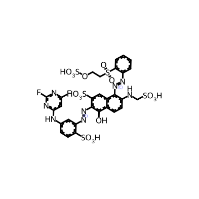 O=S(=O)(O)CNc1ccc2c(O)c(/N=N/c3cc(Nc4cc(F)nc(F)n4)ccc3S(=O)(=O)O)c(S(=O)(=O)O)cc2c1/N=N/c1ccccc1S(=O)(=O)CCOS(=O)(=O)O